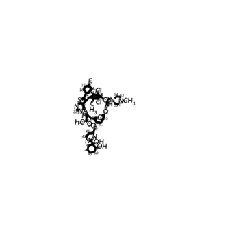 Cc1c(Cl)c2c(Cl)c(C)c1-c1c(-c3ccc(F)cc3)sc3ncnc(c13)O[C@@H](C(=O)O)Cc1cc(ccc1OCc1ccnc([C@@]3(O)CCCC[C@@H]3O)n1)OC[C@@H](CN1CCN(C)CC1)O2